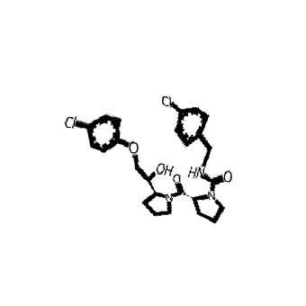 O=C(NCc1ccc(Cl)cc1)N1CCC[C@@H]1C(=O)N1CCC[C@H]1C(O)COc1ccc(Cl)cc1